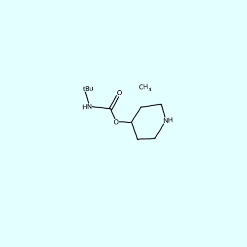 C.CC(C)(C)NC(=O)OC1CCNCC1